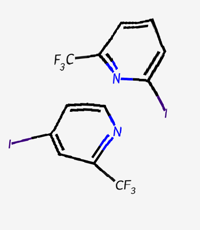 FC(F)(F)c1cc(I)ccn1.FC(F)(F)c1cccc(I)n1